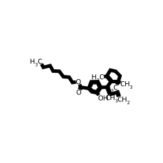 C=CC(C)=C(C1=C(C)CCCC1(C)C)c1ccc(C(=O)OCCCCCCCC)cc1O